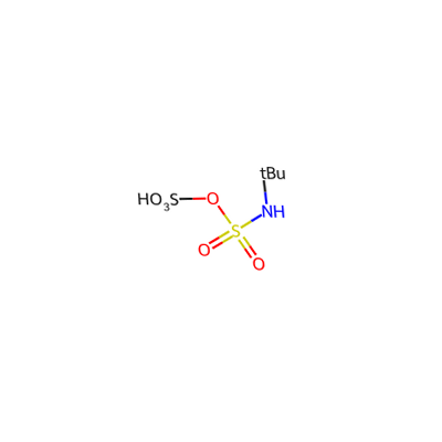 CC(C)(C)NS(=O)(=O)OS(=O)(=O)O